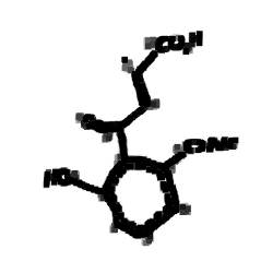 COc1cccc(O)c1C(=O)C=CC(=O)O